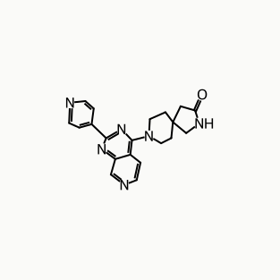 O=C1CC2(CCN(c3nc(-c4ccncc4)nc4cnccc34)CC2)CN1